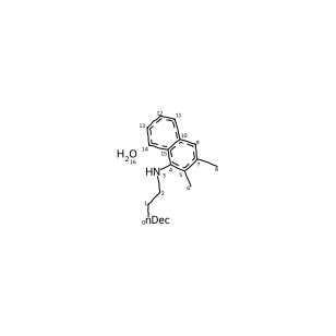 CCCCCCCCCCCCNc1c(C)c(C)cc2ccccc12.O